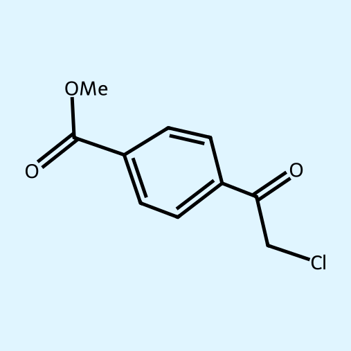 COC(=O)c1ccc(C(=O)CCl)cc1